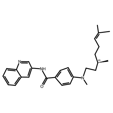 CC(C)=CCC[C@@H](C)CCN(C)c1ccc(C(=O)Nc2cnc3ccccc3c2)cc1